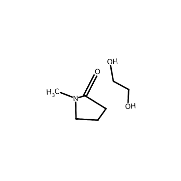 CN1CCCC1=O.OCCO